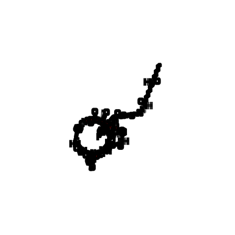 CCCCCCC(=O)NCCCCCCCC(=O)NCC[N+](C)(C)CCOCCOCC(=O)NC[C@H]1NC(=O)[C@H](C)NC(=O)CCC(=O)N2CCCCCCn3cc(c4cc(F)ccc43)C[C@@H]3NC(=O)[C@H](Cc4cccc(c4)CNC(=O)CO[C@H]4CCN(C3=O)C4C(=O)N[C@@H]([C@@H](C)O)C(=O)N[C@@H](Cc3ccc(OC)cc3)C(=O)N3CCC[C@@]3(C)C(=O)NCCc3ccc(cc3)C2)NC1=O